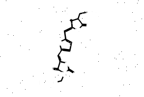 O=C(O)CC1C(=O)/C(=C/c2ccc(/C=C3\SC(=S)N(CC(=O)O)C3=O)s2)SC1=S